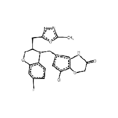 Cc1nnc(C[C@@H]2COc3cc(F)ccc3N2Cc2cc(Cl)c3c(c2)NC(=O)CO3)o1